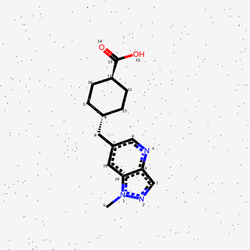 Cn1ncc2ncc(C[C@H]3CC[C@H](C(=O)O)CC3)cc21